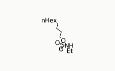 CCCCCCCCCCOS(=O)(=O)NCC